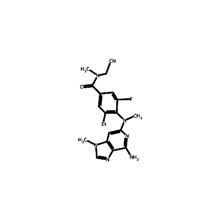 CCc1cc(C(=O)N(C)CC#N)cc(F)c1N(C)c1cc2c(ncn2C)c(N)n1